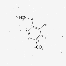 Cc1cc(C(=O)O)ccc1CN